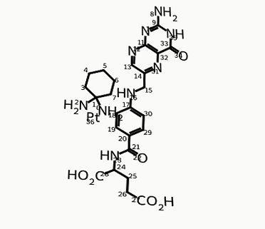 NC1(N)CCCCC1.Nc1nc2ncc(CNc3ccc(C(=O)NC(CCC(=O)O)C(=O)O)cc3)nc2c(=O)[nH]1.[Pt]